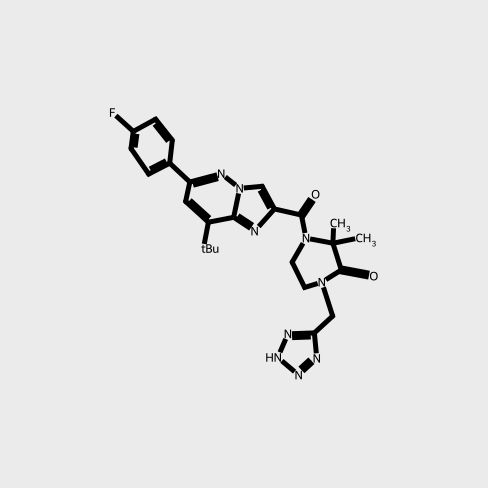 CC(C)(C)c1cc(-c2ccc(F)cc2)nn2cc(C(=O)N3CCN(Cc4nn[nH]n4)C(=O)C3(C)C)nc12